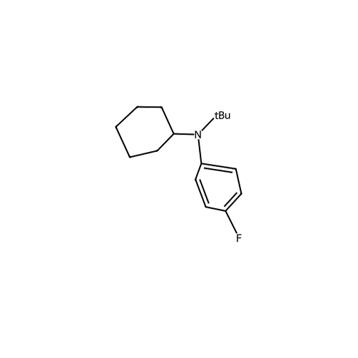 CC(C)(C)N(c1ccc(F)cc1)C1CCCCC1